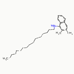 CCCCCCCCCCCCCCCCNc1c(C)c(C)cc2ccccc12